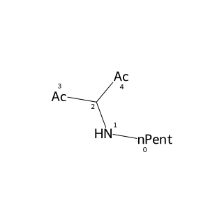 CCCCCNC(C(C)=O)C(C)=O